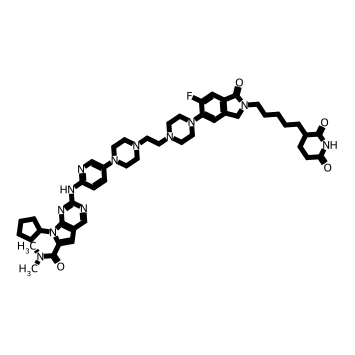 CN(C)C(=O)c1cc2cnc(Nc3ccc(N4CCN(CCN5CCN(c6cc7c(cc6F)C(=O)N(CCCCCC6CCC(=O)NC6=O)C7)CC5)CC4)cn3)nc2n1C1CCCC1